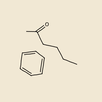 CCCCC(C)=O.c1ccccc1